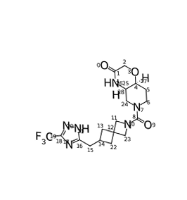 O=C1CO[C@H]2CCN(C(=O)N3CC4(CC(Cc5nc(C(F)(F)F)n[nH]5)C4)C3)C[C@H]2N1